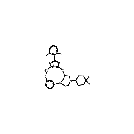 Cc1cccc(C)c1-c1cc2nc(n1)NSc1cccc(c1)N1CCN(C3CCC(F)(F)CC3)CC(C1)O2